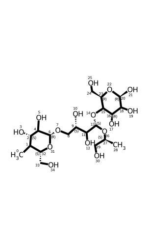 CC1[C@H](O)C(O)[C@H](OC[C@H](O)C(O)[C@H](OC2[C@H](O)C(O)[C@H](O)O[C@@H]2CO)O[C@@H](C)CO)O[C@@H]1CO